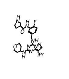 CC(C)c1cnn2c(NCc3ccc(F)c(NC(=O)C4CCNC4)c3)nc(NC3CCOCC3)nc12